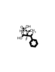 CN([C@](F)(C(=O)O)C(F)c1ccccc1)P(=O)(O)O